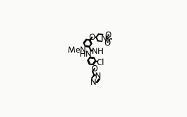 CNc1ccc(OC2CCN(S(C)(=O)=O)CC2)cc1C(=N)Nc1ccc(OCc2cnccn2)c(Cl)c1